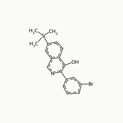 C[Si](C)(C)c1ccc2c(O)c(-c3cccc(Br)c3)ncc2c1